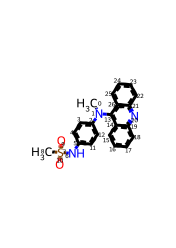 CN(c1ccc(NS(C)(=O)=O)cc1)c1c2ccccc2nc2ccccc12